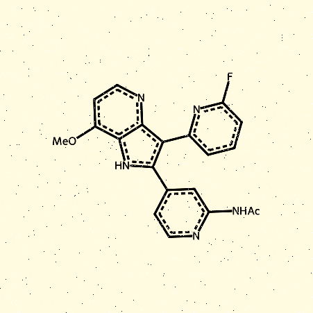 COc1ccnc2c(-c3cccc(F)n3)c(-c3ccnc(NC(C)=O)c3)[nH]c12